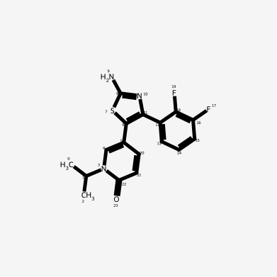 CC(C)n1cc(-c2sc(N)nc2-c2cccc(F)c2F)ccc1=O